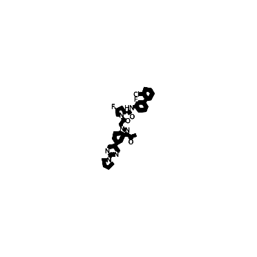 CC(=O)c1nn(CC(=O)N2C[C@H](F)C[C@H]2C(=O)Nc2cccc(-c3ccccc3Cl)c2F)c2ccc(-c3cnc(N4CCCC4)nc3)cc12